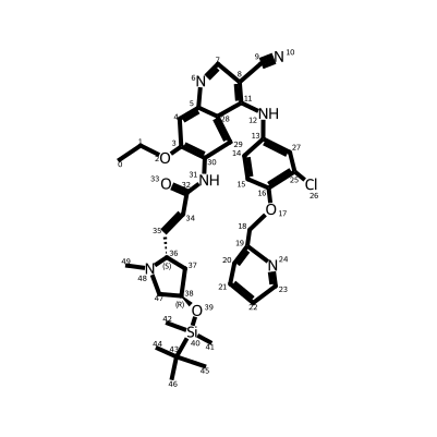 CCOc1cc2ncc(C#N)c(Nc3ccc(OCc4ccccn4)c(Cl)c3)c2cc1NC(=O)C=C[C@@H]1C[C@@H](O[Si](C)(C)C(C)(C)C)CN1C